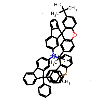 CC(C)(C)c1ccc2c(c1)C1(c3cc(C(C)(C)C)ccc3O2)c2ccccc2-c2ccc(N(c3ccc4c(c3)C(c3ccccc3)(c3ccccc3)c3ccccc3-4)c3cccc4c3C3C=CC=CC3(C)S4)cc21